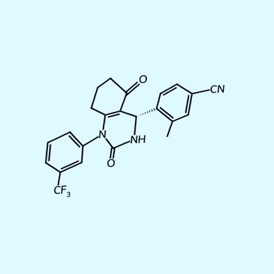 Cc1cc(C#N)ccc1[C@@H]1NC(=O)N(c2cccc(C(F)(F)F)c2)C2=C1C(=O)CCC2